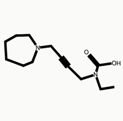 CCN(CC#CCN1CCCCCC1)C(=O)O